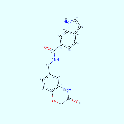 O=C1COc2ccc(CNC(=O)c3ccc4cc[nH]c4c3)cc2N1